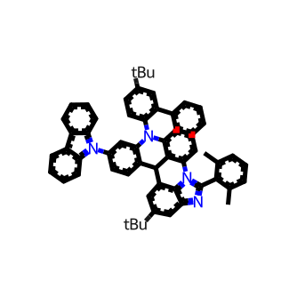 Cc1cccc(C)c1-c1nc2cc(C(C)(C)C)cc3c2n1-c1cccc2c1C3c1ccc(-n3c4ccccc4c4ccccc43)cc1N2c1ccc(C(C)(C)C)cc1-c1ccccc1